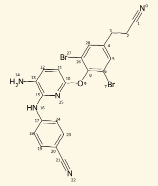 N#CCCc1cc(Br)c(Oc2ccc(N)c(Nc3ccc(C#N)cc3)n2)c(Br)c1